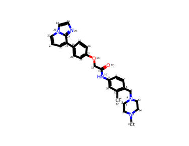 CCN1CCN(Cc2ccc(NC(=O)COc3ccc(-c4cccn5ccnc45)cc3)cc2C(F)(F)F)CC1